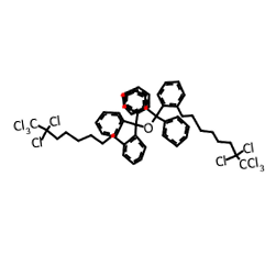 ClC(Cl)(Cl)C(Cl)(Cl)CCCCCCc1ccccc1C(OC(c1ccccc1)(c1ccccc1)c1ccccc1CCCCCCC(Cl)(Cl)C(Cl)(Cl)Cl)(c1ccccc1)c1ccccc1